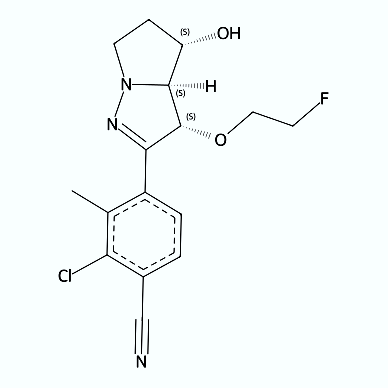 Cc1c(C2=NN3CC[C@H](O)[C@H]3[C@@H]2OCCF)ccc(C#N)c1Cl